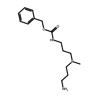 CN(CCCN)CCCNC(=O)OCc1ccccc1